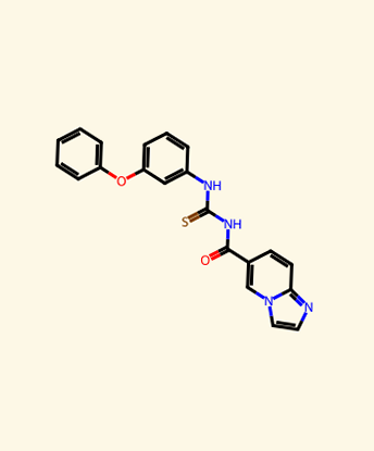 O=C(NC(=S)Nc1cccc(Oc2ccccc2)c1)c1ccc2nccn2c1